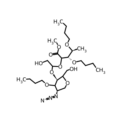 CCCCOC1[C@@H](OC(CO)OC(C(=O)OC)[C@@H](OCCCC)[C@H](C)OCCCC)C(CO)OC[C@H]1N=[N+]=[N-]